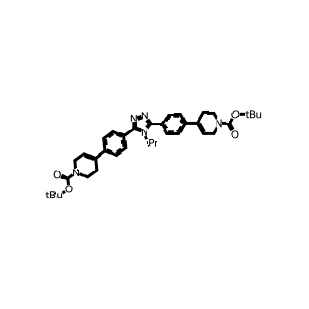 CC(C)n1c(-c2ccc(C3=CCN(C(=O)OC(C)(C)C)CC3)cc2)nnc1-c1ccc(C2=CCN(C(=O)OC(C)(C)C)CC2)cc1